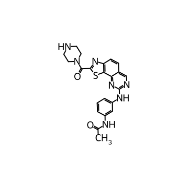 CC(=O)Nc1cccc(Nc2ncc3ccc4nc(C(=O)N5CCNCC5)sc4c3n2)c1